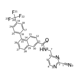 N#Cc1nccc(CNC(=O)c2ccc3c(-c4ccc(C(F)(F)F)cc4)cccc3c2)n1